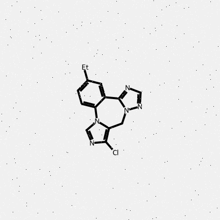 CCc1ccc2c(c1)-c1ncnn1Cc1c(Cl)ncn1-2